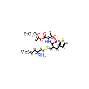 CCOC(=O)OC(C)OC(=O)C(NC(=O)C(CSSCC(N)CCSC)Cc1ccsc1)C(C)O